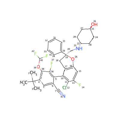 CC(C)(C)c1cc(C#N)c(-c2c(Cl)c(F)cc3c2C[C@@](CN[C@H]2CC[C@H](O)CC2)(c2ccccc2)O3)c(F)c1OC(F)F